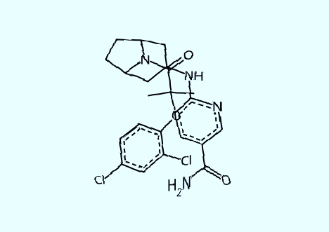 CC(C)(Oc1ccc(Cl)cc1Cl)C(=O)N1C2CCC1CC(Nc1ccc(C(N)=O)cn1)C2